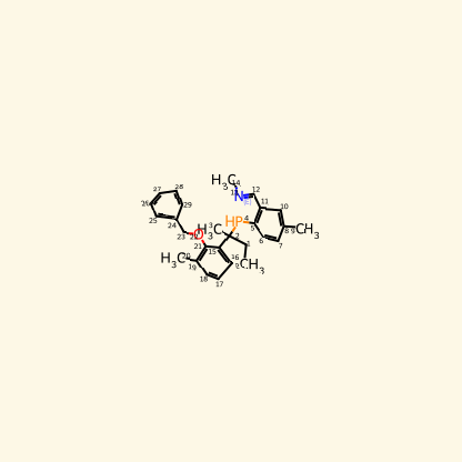 CCC(C)(Pc1ccc(C)cc1/C=N/C)c1cccc(C)c1OCc1ccccc1